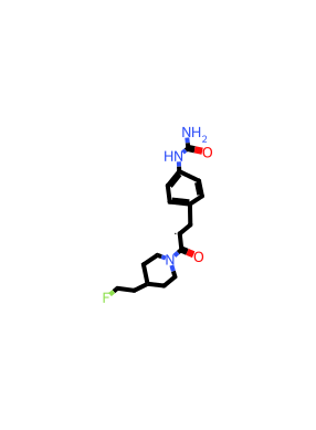 NC(=O)Nc1ccc(C[CH]C(=O)N2CCC(CCF)CC2)cc1